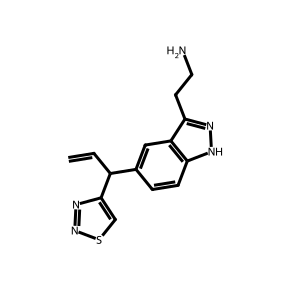 C=CC(c1ccc2[nH]nc(CCN)c2c1)c1csnn1